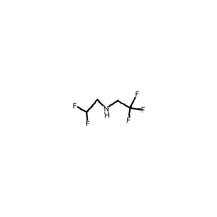 FC(F)CNCC(F)(F)F